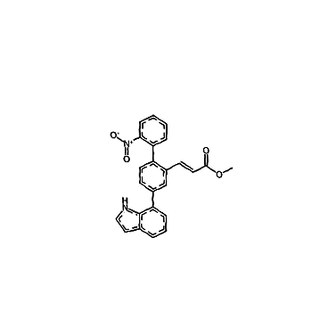 COC(=O)C=Cc1cc(-c2cccc3cc[nH]c23)ccc1-c1ccccc1[N+](=O)[O-]